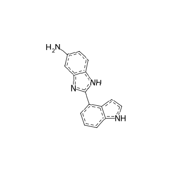 Nc1ccc2[nH]c(-c3cccc4[nH]ccc34)nc2c1